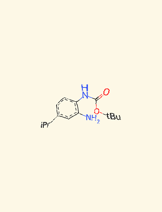 CC(C)c1ccc(NC(=O)OC(C)(C)C)c(N)c1